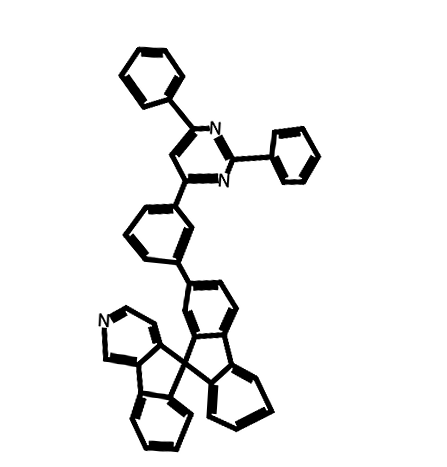 c1ccc(-c2cc(-c3cccc(-c4ccc5c(c4)C4(c6ccccc6-c6cnccc64)c4ccccc4-5)c3)nc(-c3ccccc3)n2)cc1